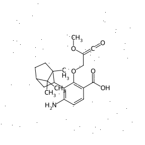 COC(=C=O)COc1c(C(=O)O)ccc(N)c1C1CC2CCC1(C)C2(C)C